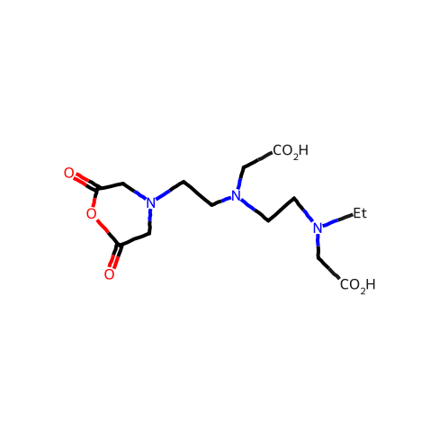 CCN(CCN(CCN1CC(=O)OC(=O)C1)CC(=O)O)CC(=O)O